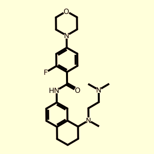 CN(C)CCN(C)C1CCCc2ccc(NC(=O)c3ccc(N4CCOCC4)cc3F)cc21